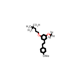 [2H]C([2H])([2H])Oc1cc(/C=C/c2ccc(OC)cc2)cc(OCCCC(C)(C)C(=O)O)c1